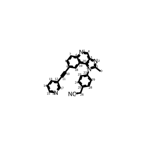 Cc1nc2cnc3ccc(C#Cc4cccnc4)cc3c2n1-c1ccc(CC#N)cc1